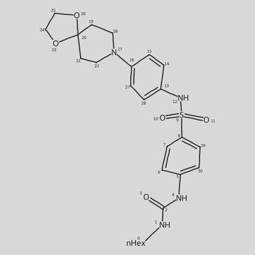 CCCCCCNC(=O)Nc1ccc(S(=O)(=O)Nc2ccc(N3CCC4(CC3)OCCO4)cc2)cc1